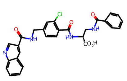 O=C(NCc1ccc(C(=O)N[C@@H](CNC(=O)c2ccccc2)C(=O)O)c(Cl)c1)c1cnc2ccccc2c1